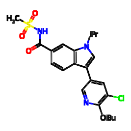 CC(C)COc1ncc(-c2cn(C(C)C)c3cc(C(=O)NS(C)(=O)=O)ccc23)cc1Cl